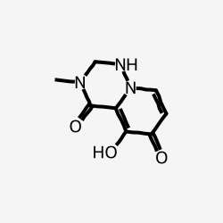 CN1CNn2ccc(=O)c(O)c2C1=O